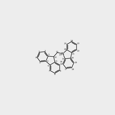 c1ccc2c(c1)-c1ccccc1C2Cn1c2ccccc2c2ccccc21